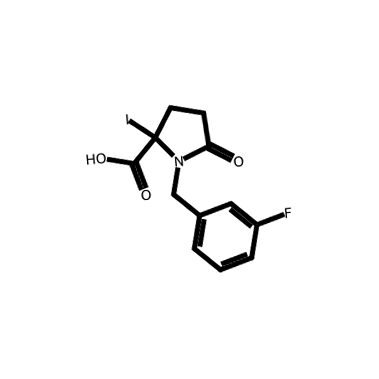 O=C1CCC(I)(C(=O)O)N1Cc1cccc(F)c1